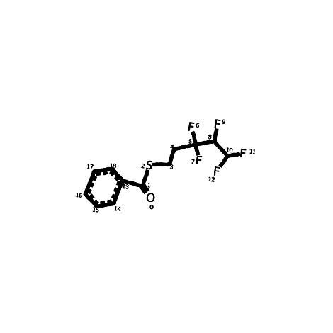 O=C(SCCC(F)(F)C(F)C(F)F)c1ccccc1